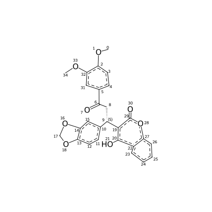 COc1ccc(C(=O)C[C@@H](c2ccc3c(c2)OCO3)c2c(O)c3ccccc3oc2=O)cc1OC